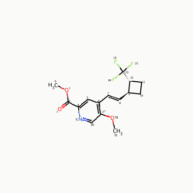 COC(=O)c1cc(/C=C/[C@@H]2CC[C@H]2C(F)(F)F)c(OC)cn1